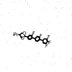 CC(C)C1COC(c2ccc(-c3ccc(C4C=C(F)C(F)=C(F)C4)c(F)c3)c(F)c2)OC1